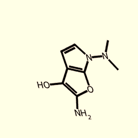 CN(C)n1ccc2c(O)c(N)oc21